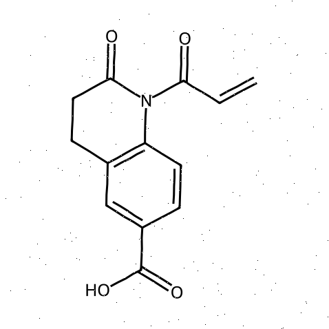 C=CC(=O)N1C(=O)CCc2cc(C(=O)O)ccc21